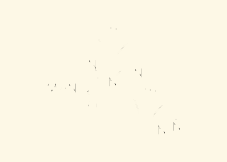 CNC(=O)c1nc(Nc2ccc3[nH]ncc3c2)c2ccccc2n1